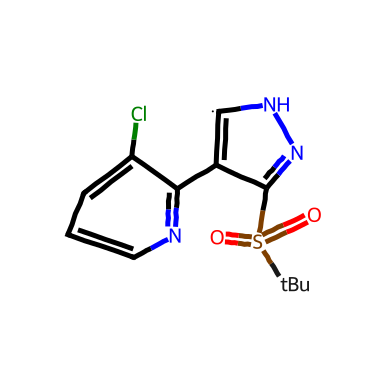 CC(C)(C)S(=O)(=O)c1n[nH][c]c1-c1ncccc1Cl